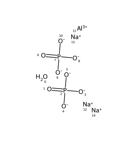 O.O=P([O-])([O-])[O-].O=P([O-])([O-])[O-].[Al+3].[Na+].[Na+].[Na+]